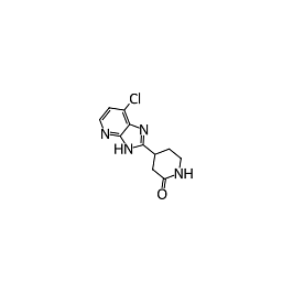 O=C1CC(c2nc3c(Cl)ccnc3[nH]2)CCN1